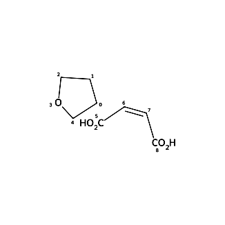 C1CCOC1.O=C(O)/C=C\C(=O)O